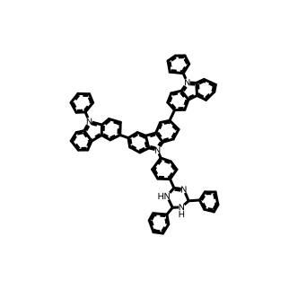 c1ccc(C2N=C(c3ccc(-n4c5ccc(-c6ccc7c(c6)c6ccccc6n7-c6ccccc6)cc5c5cc(-c6ccc7c(c6)c6ccccc6n7-c6ccccc6)ccc54)cc3)NC(c3ccccc3)N2)cc1